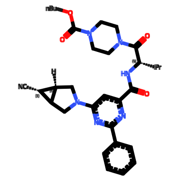 CCCCOC(=O)N1CCN(C(=O)[C@@H](NC(=O)c2cc(N3CC4[C@H](C#N)[C@H]4C3)nc(-c3ccccc3)n2)C(C)C)CC1